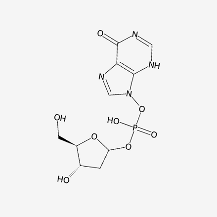 O=c1nc[nH]c2c1ncn2OP(=O)(O)OC1C[C@H](O)[C@@H](CO)O1